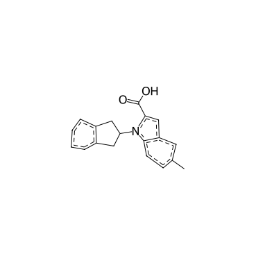 Cc1ccc2c(c1)cc(C(=O)O)n2C1Cc2ccccc2C1